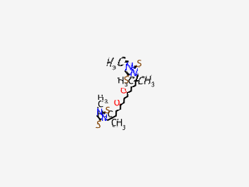 CCN1CC(=S)N(CC(C)(C)CCCC(=O)CCCC(=O)CCCC(C)(C)CN2C(=S)CN(CC)C2=S)C1=S